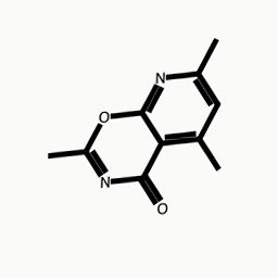 Cc1cc(C)c2c(=O)nc(C)oc2n1